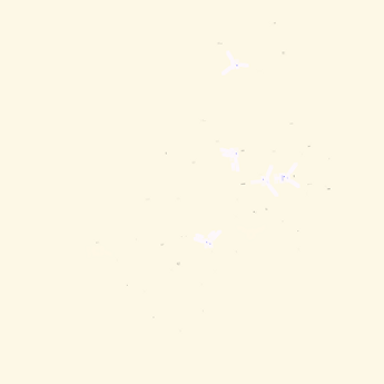 C#Cc1c(F)ccc2cc(O)cc(-c3nc4c5c(nc(CCCN6CCCCC6)c(C)c5c3F)N3C[C@H]5CC[C@H](N5)[C@H]3[C@H](C)O4)c12